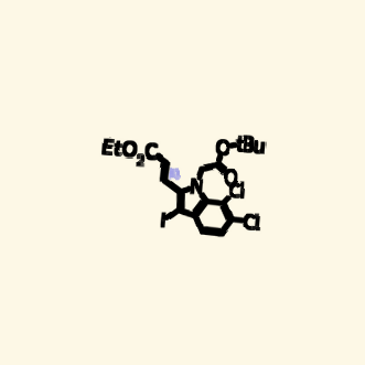 CCOC(=O)/C=C/c1c(I)c2ccc(Cl)c(Cl)c2n1CC(=O)OC(C)(C)C